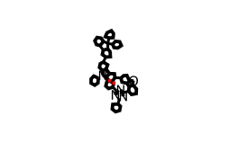 c1ccc(-c2nc(-c3ccccc3)nc(-c3cccc4oc5ccc(-c6ccc7c(c6)c6cc(-c8ccc9c(c8)-c8ccccc8C9(c8ccccc8)c8ccccc8)ccc6n7-c6ccccc6)cc5c34)n2)cc1